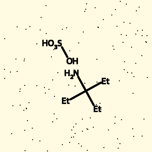 CCC(N)(CC)CC.O=S(=O)(O)O